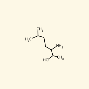 CC(C)CCC(N)C(C)O